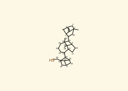 CC12CC3=C1C(C3)C(C1C3CCC4C(C5C6CC7CC5(CS)C76)CCCC1(C)C43C)C2